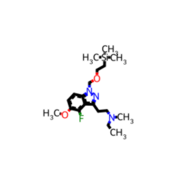 CCN(C)CCc1nn(COCC[Si](C)(C)C)c2ccc(OC)c(F)c12